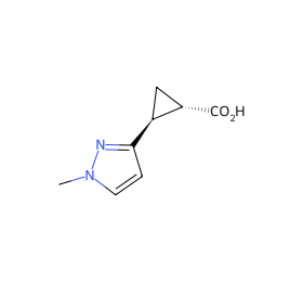 Cn1ccc([C@H]2C[C@@H]2C(=O)O)n1